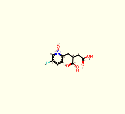 O=C(O)CC(Cc1ccc(F)c[n+]1[O-])C(=O)O